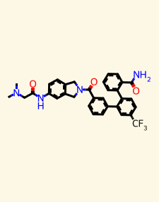 CN(C)CC(=O)Nc1ccc2c(c1)CN(C(=O)c1cccc(-c3cc(C(F)(F)F)ccc3-c3ccccc3C(N)=O)c1)C2